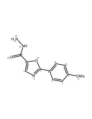 COc1ccc(-c2ncc(C(=O)NN)o2)cc1